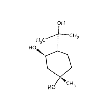 CC(C)(O)[C@@H]1CC[C@](C)(O)C[C@H]1O